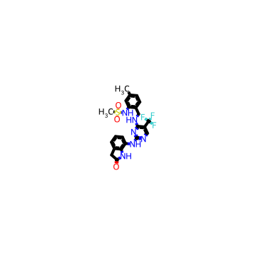 Cc1ccc(CNc2nc(Nc3cccc4c3NC(=O)C4)ncc2C(F)(F)F)c(NS(C)(=O)=O)c1